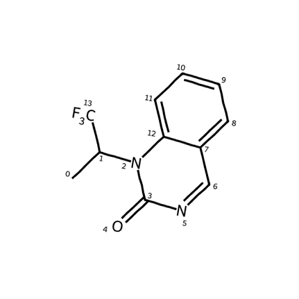 CC(n1c(=O)ncc2ccccc21)C(F)(F)F